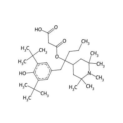 CCCC(Cc1cc(C(C)(C)C)c(O)c(C(C)(C)C)c1)(OC(=O)CC(=O)O)C1CC(C)(C)N(C)C(C)(C)C1